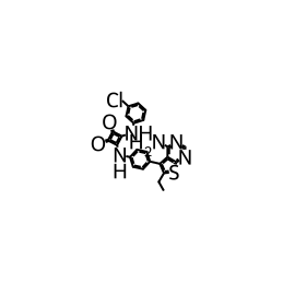 CCc1sc2ncnc(N)c2c1-c1ccc(Nc2c(Nc3cccc(Cl)c3)c(=O)c2=O)cc1